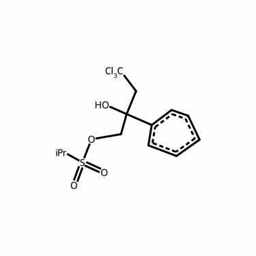 CC(C)S(=O)(=O)OCC(O)(CC(Cl)(Cl)Cl)c1ccccc1